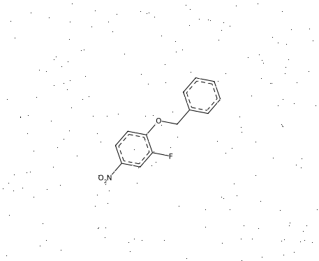 O=[N+]([O-])c1ccc(OCc2ccccc2)c(F)c1